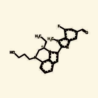 CC[C@@H]1CN(CCCO)c2cccc3cc(-c4nc5cc(C=O)cc(F)c5n4C)n1c23